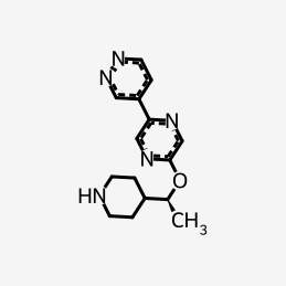 C[C@H](Oc1cnc(-c2ccnnc2)cn1)C1CCNCC1